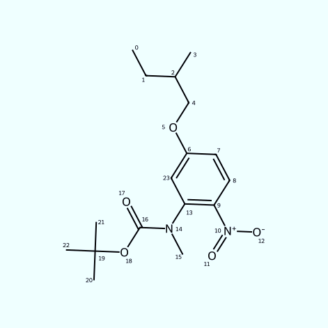 CCC(C)COc1ccc([N+](=O)[O-])c(N(C)C(=O)OC(C)(C)C)c1